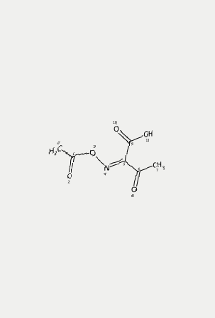 CC(=O)ON=C(C(C)=O)C(=O)O